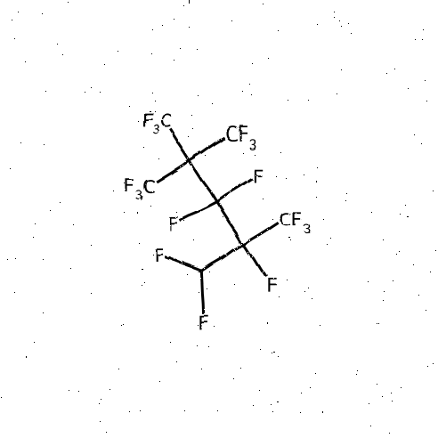 FC(F)C(F)(C(F)(F)F)C(F)(F)C(C(F)(F)F)(C(F)(F)F)C(F)(F)F